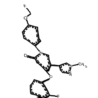 Cn1cc(-c2cn(-c3ccc(OCF)cc3)c(=O)cc2Oc2ccccc2F)cn1